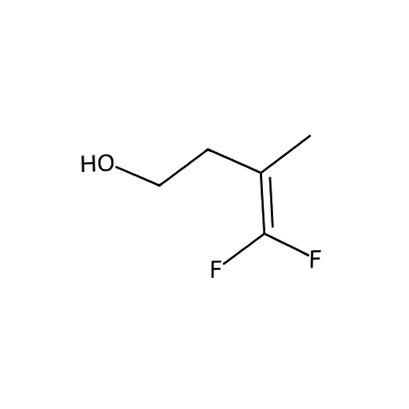 CC(CCO)=C(F)F